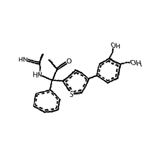 CC(=N)NC(C(C)=O)(c1ccccc1)c1cc(-c2ccc(O)c(O)c2)cs1